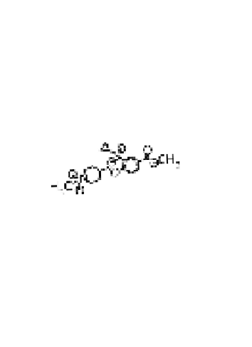 COC(=O)c1ccc(OCC2CCN(S(C)(=O)=O)CC2)c(S(=O)(=O)C2CC2)c1